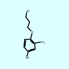 Cc1cc(S)ccc1OCCCS